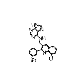 CC(C)c1cccc(-c2nc3c(Cl)cccc3cc2CNc2ncnc3[nH]cnc23)c1